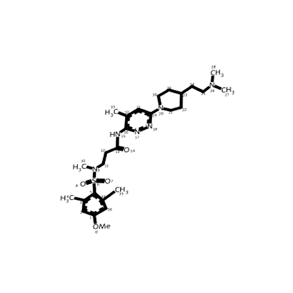 COc1cc(C)c(S(=O)(=O)N(C)CCC(=O)Nc2nnc(N3CCC(CCN(C)C)CC3)cc2C)c(C)c1